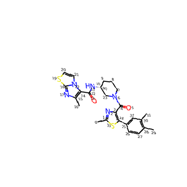 Cc1nc(C(=O)N2CCC[C@@H](NC(=O)c3c(C)nc4sccn34)C2)c(-c2ccc(C)c(C)c2)s1